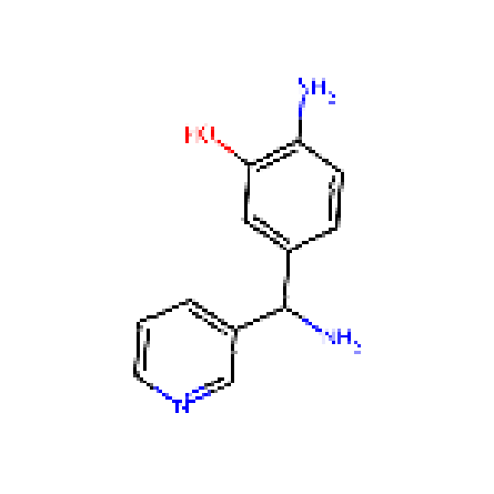 Nc1ccc(C(N)c2cccnc2)cc1O